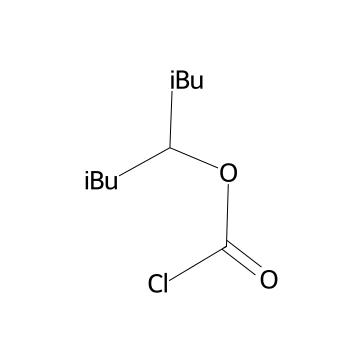 CCC(C)C(OC(=O)Cl)C(C)CC